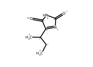 CCC(C)C1=NC(=O)NC1=O